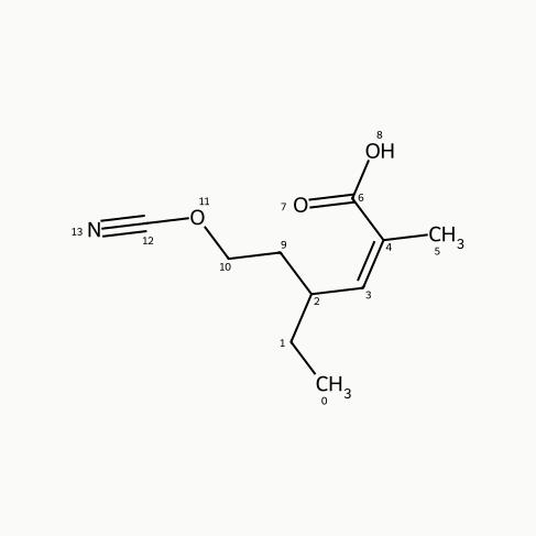 CCC(C=C(C)C(=O)O)CCOC#N